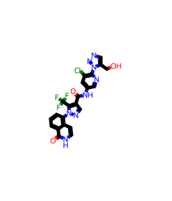 O=C(Nc1cnc(-n2nncc2CO)c(Cl)c1)c1cnn(-c2cccc3c(=O)[nH]ccc23)c1C(F)(F)F